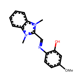 COc1ccc(N=Cc2n(C)c3ccccc3[n+]2C)c(O)c1